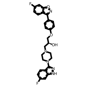 O[C@H](COc1ccc(-c2noc3cc(F)ccc23)cc1)CN1CCN(c2n[nH]c3cc(F)ccc23)CC1